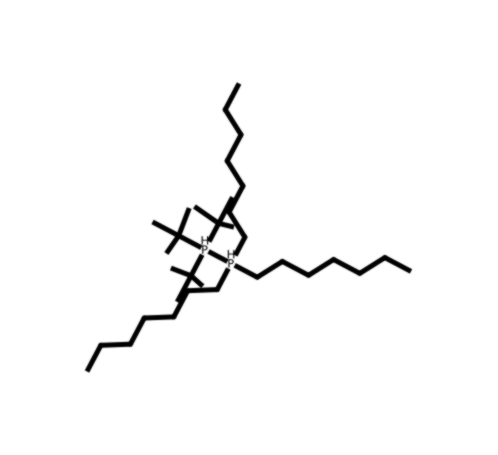 CCCCCCC[PH](CCCCCCC)(CCCCCCC)[PH](C(C)(C)C)(C(C)(C)C)C(C)(C)C